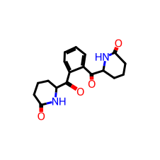 O=C1CCCC(C(=O)c2ccccc2C(=O)C2CCCC(=O)N2)N1